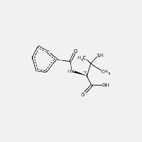 CC(C)(S)[C@H](NC(=O)c1ccccc1)C(=O)O